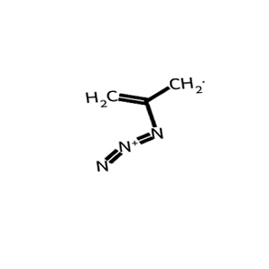 [CH2]C(=C)N=[N+]=[N-]